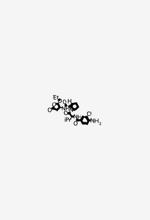 CCO[C@@H]1OC(=O)C[C@@H]1NC(=O)[C@@H]1[C@H]2CCC(C2)N1C(=O)[C@@H](NC(=O)c1ccc(N)c(Cl)c1)C(C)C